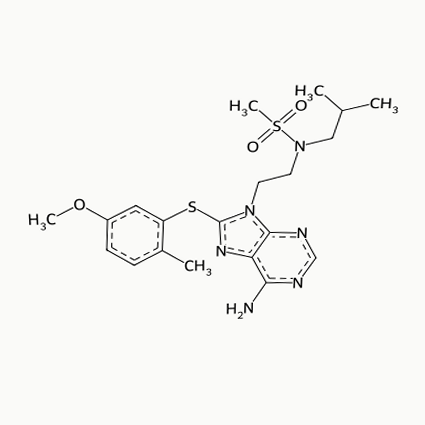 COc1ccc(C)c(Sc2nc3c(N)ncnc3n2CCN(CC(C)C)S(C)(=O)=O)c1